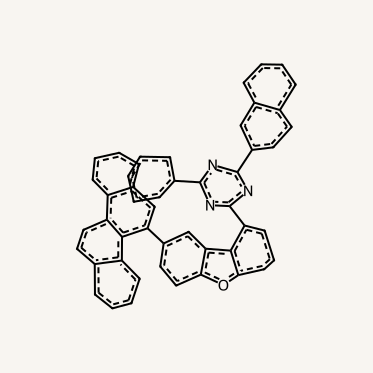 c1ccc(-c2nc(-c3ccc4ccccc4c3)nc(-c3cccc4oc5ccc(-c6cc7ccccc7c7ccc8ccccc8c67)cc5c34)n2)cc1